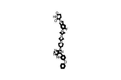 Nc1ncnc2c1c(-c1ccc(Oc3ccccc3)cc1)nn2C1CCN(C2CN(C3CN(c4cc5c(cc4F)CN(C4CCC(=O)NC4=O)C5)C3)C2)CC1